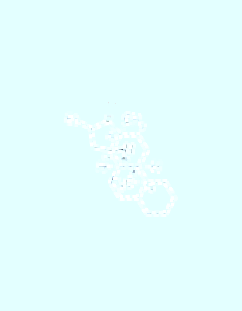 CCC1C[C@H]2[C@@H]3CCC4CCCC[C@]4(C)[C@@H]3CC[C@]2(C)C1=O